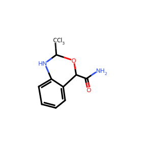 NC(=O)C1OC(C(Cl)(Cl)Cl)Nc2ccccc21